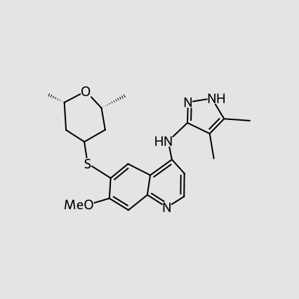 COc1cc2nccc(Nc3n[nH]c(C)c3C)c2cc1SC1C[C@@H](C)O[C@@H](C)C1